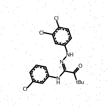 CC(C)(C)C(=O)/C(=N\Nc1ccc(Cl)c(Cl)c1)Nc1cccc(Cl)c1